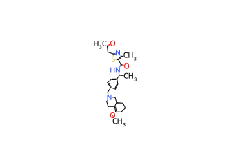 COC1=C2CCN(Cc3ccc([C@H](C)NC(=O)c4sc(CC(C)=O)nc4C)cc3)CC2=CCC1